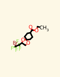 CCOC(=O)C1CCC2(CC1)OCC(C(F)(F)C(F)(F)Br)O2